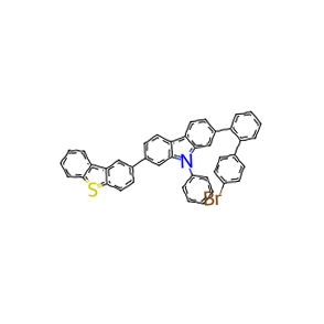 Brc1ccc(-c2ccccc2-c2ccc3c4ccc(-c5ccc6sc7ccccc7c6c5)cc4n(-c4ccccc4)c3c2)cc1